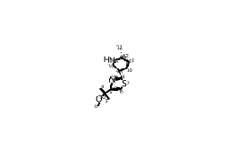 COC(C)(C)c1csc([C@@H]2CC[C@@H](C)NC2)n1